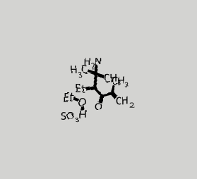 C=C(C)C(=O)C(CC)C(C)(C)N.CCOS(=O)(=O)O